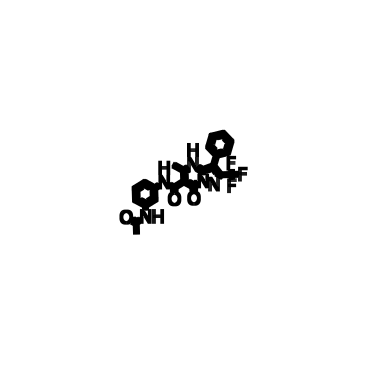 CC(=O)Nc1cccc(NC(=O)c2c(C)[nH]c3c(-c4ccccc4)c(C(F)(F)F)nn3c2=O)c1